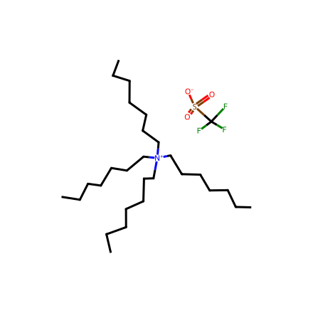 CCCCCCC[N+](CCCCCCC)(CCCCCCC)CCCCCCC.O=S(=O)([O-])C(F)(F)F